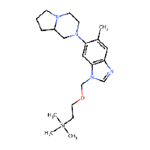 Cc1cc2ncn(COCC[Si](C)(C)C)c2cc1N1CCN2CCCC2C1